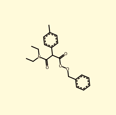 CCN(CC)C(=O)C(C(=O)OOCc1ccccc1)c1ccc(C)cc1